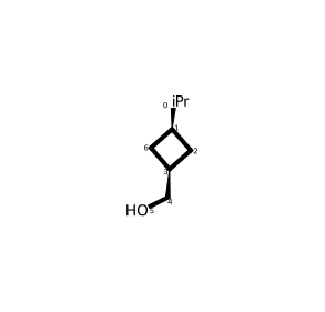 CC(C)[C@H]1C[C@@H](CO)C1